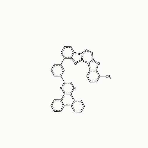 Cc1cccc2c1oc1ccc3c4cccc(-c5cccc(-c6cnc7c8ccccc8c8ccccc8c7n6)c5)c4oc3c12